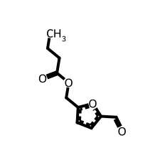 CCCC(=O)OCc1ccc(C=O)o1